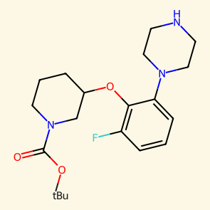 CC(C)(C)OC(=O)N1CCCC(Oc2c(F)cccc2N2CCNCC2)C1